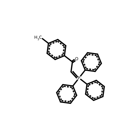 Cc1ccc(C(=O)C=P(c2ccccc2)(c2ccccc2)c2ccccc2)cc1